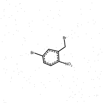 O=[N+]([O-])c1ccc(Br)cc1CBr